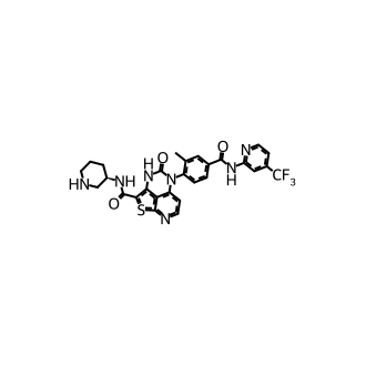 Cc1cc(C(=O)Nc2cc(C(F)(F)F)ccn2)ccc1N1C(=O)Nc2c(C(=O)N[C@@H]3CCCNC3)sc3nccc1c23